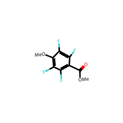 COC(=O)c1c(F)c(F)c(OC)c(F)c1F